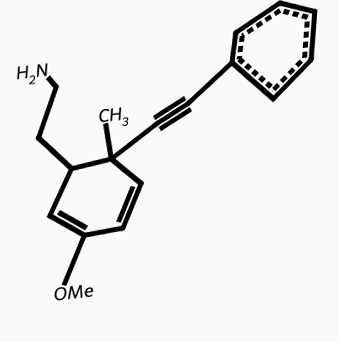 COC1=CC(CCN)C(C)(C#Cc2ccccc2)C=C1